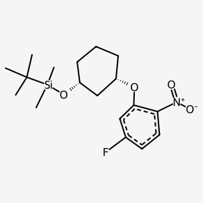 CC(C)(C)[Si](C)(C)O[C@@H]1CCC[C@H](Oc2cc(F)ccc2[N+](=O)[O-])C1